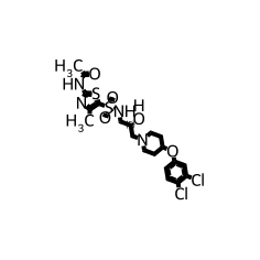 CC(=O)Nc1nc(C)c(S(=O)(=O)NC[C@@H](O)CN2CCC(Oc3ccc(Cl)c(Cl)c3)CC2)s1